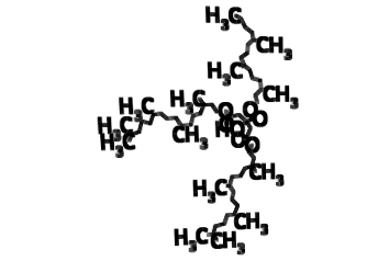 CCCCC(C)CCCC(C)CCCC(C)CCOC(=O)C(O)(CC(=O)OCCC(C)CCCC(C)CCCC(C)CCCC(C)C)CC(=O)OCCC(C)CCCC(C)CCCC(C)CCCC(C)C